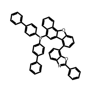 c1ccc(-c2ccc(N(c3ccc(-c4ccccc4)cc3)c3cc4c(oc5cccc(-c6cccc7nc(-c8ccccc8)oc67)c54)c4ccccc34)cc2)cc1